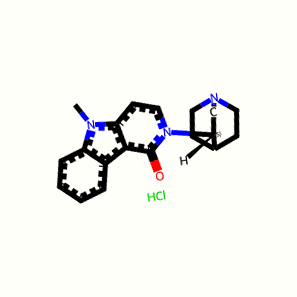 Cl.Cn1c2ccccc2c2c(=O)n([C@@H]3CN4CCC3CC4)ccc21